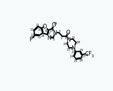 O=C(CCn1cnc2c(oc3ccc(F)cc32)c1=O)N1CCN(c2cccc(C(F)(F)F)c2)CC1